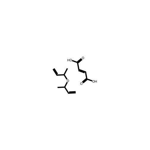 C=CC(C)OC(C)C=C.O=C(O)C=CC(=O)O